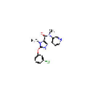 CN(C(=O)c1cnc(Oc2cccc(Cl)c2)n1C)c1cccnc1